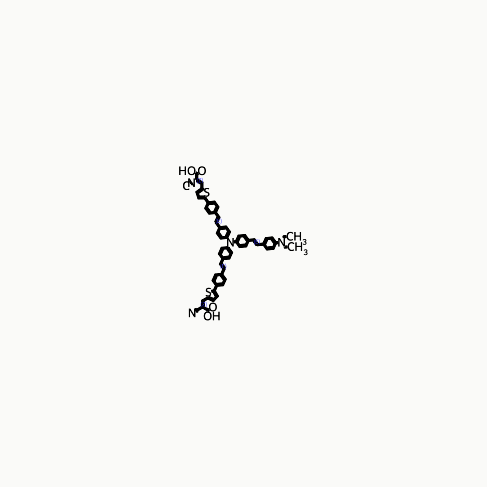 [C-]#[N+]/C(=C\c1ccc(-c2ccc(/C=C/c3ccc(N(c4ccc(/C=C/c5ccc(-c6ccc(/C=C(/C#N)C(=O)O)s6)cc5)cc4)c4ccc(/C=C/c5ccc(N(CC)CC)cc5)cc4)cc3)cc2)s1)C(=O)O